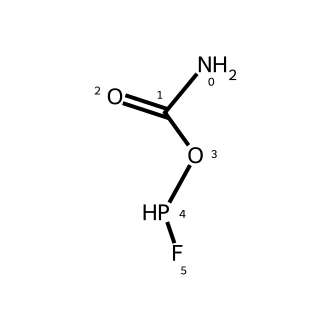 NC(=O)OPF